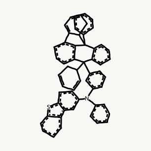 C1=CCC(C2(c3cccc(N(c4ccccc4)c4ccc5sc6ccccc6c5c4)c3)c3ccccc3C3(c4ccccc4)c4c(cccc42)C2=CC=CCC23)C=C1